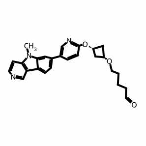 Cn1c2ccncc2c2ccc(-c3ccc(O[C@H]4C[C@H](OCCCCC=O)C4)nc3)cc21